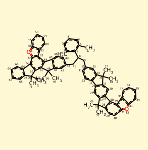 Cc1cccc(C)c1C(Cc1ccc2c(c1)C(C)(C)c1cc3c(cc1-2)C(C)(C)c1ccc2oc4ccccc4c2c1-3)Cc1ccc2c(c1)C(C)(C)c1c3c(c4oc5ccccc5c4c1-2)-c1ccccc1C3(C)C